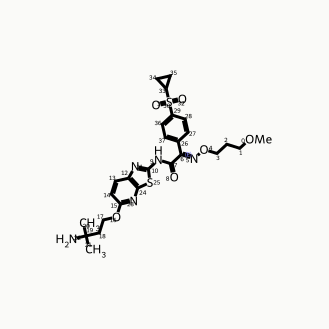 COCCCO/N=C(/C(=O)Nc1nc2ccc(OCCC(C)(C)N)nc2s1)c1ccc(S(=O)(=O)C2CC2)cc1